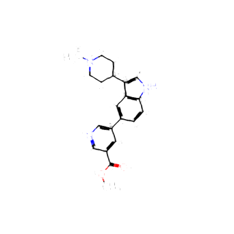 COC(=O)c1cncc(-c2ccc3[nH]cc(C4CCN(C)CC4)c3c2)c1